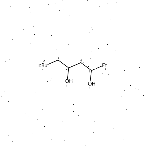 CCCCCC(O)CC(O)CC